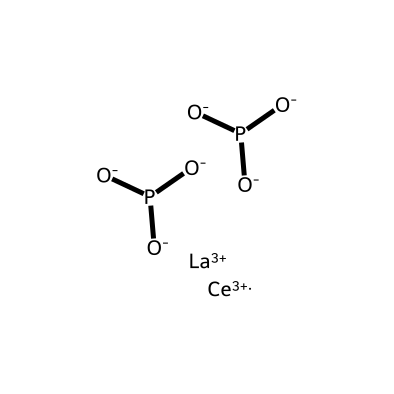 [Ce+3].[La+3].[O-]P([O-])[O-].[O-]P([O-])[O-]